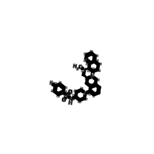 CN(C[C@@H]1Cc2c(cccc2N2CCC(NS(=O)(=O)c3ccc(F)cc3)CC2)CN1)[C@H]1CCCc2cccnc21